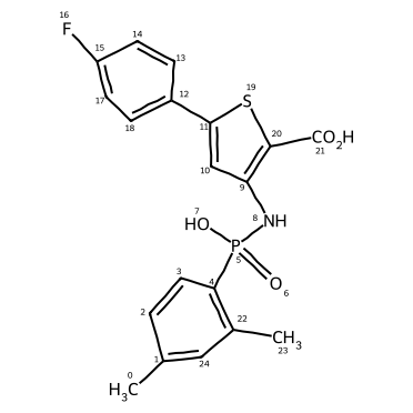 Cc1ccc(P(=O)(O)Nc2cc(-c3ccc(F)cc3)sc2C(=O)O)c(C)c1